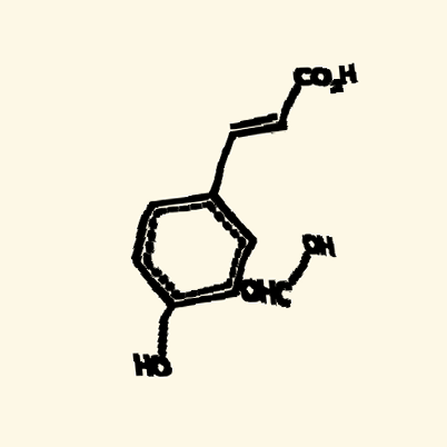 O=C(O)C=Cc1ccc(O)cc1.O=CO